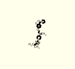 CC(C)c1noc(N2CCC(N(C)CCOc3ccc(C(=O)N4CCCC4)c(F)c3)CC2)n1